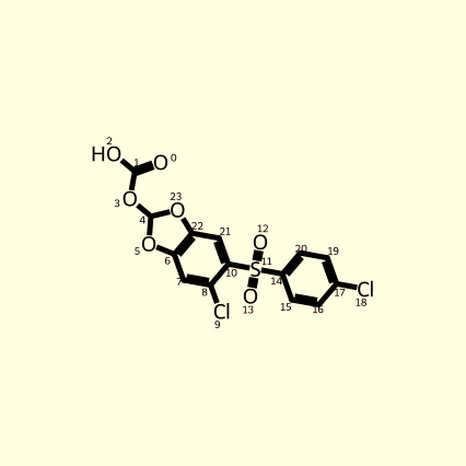 O=C(O)OC1Oc2cc(Cl)c(S(=O)(=O)c3ccc(Cl)cc3)cc2O1